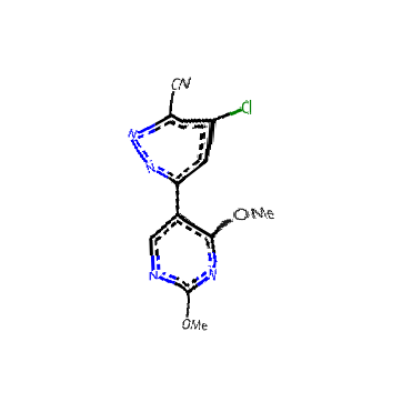 COc1ncc(-c2cc(Cl)c(C#N)nn2)c(OC)n1